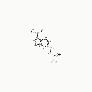 CCC(=O)c1cnn2cc(OCC(O)C(F)(F)F)ccc12